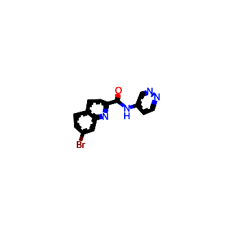 O=C(Nc1ccnnc1)c1ccc2ccc(Br)cc2n1